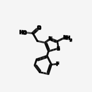 Nc1nc(CC(=O)O)c(-c2ccccc2F)s1